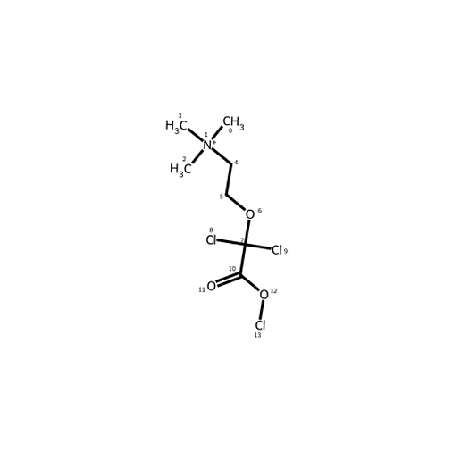 C[N+](C)(C)CCOC(Cl)(Cl)C(=O)OCl